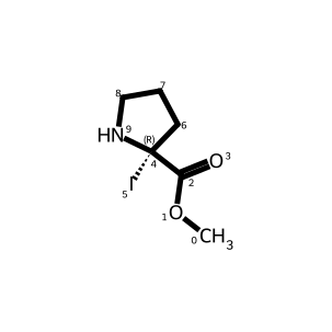 COC(=O)[C@]1(I)CCCN1